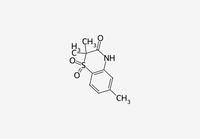 Cc1ccc2c(c1)NC(=O)C(C)(C)S2(=O)=O